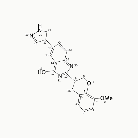 COc1cccc2c1OCC(c1nc(O)c3cc(C4C=NNC4)ccc3n1)C2